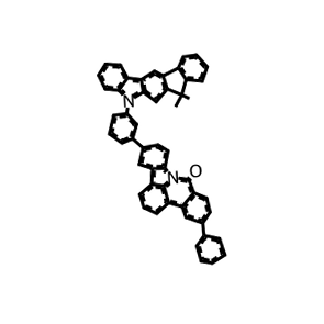 CC1(C)c2ccccc2-c2cc3c4ccccc4n(-c4cccc(-c5ccc6c(c5)c5cccc7c8cc(-c9ccccc9)ccc8c(=O)n6c75)c4)c3cc21